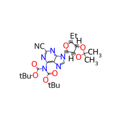 CC[C@H]1O[C@@H](n2cnc3c(N(C(=O)OC(C)(C)C)C(=O)OC(C)(C)C)nc(C#N)nc32)[C@@H]2OC(C)(C)O[C@@H]21